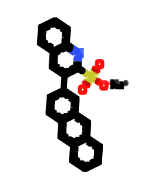 O=S(=O)([O-])c1nc2ccccc2cc1-c1ccc2cc3ccccc3cc2c1.[Na+]